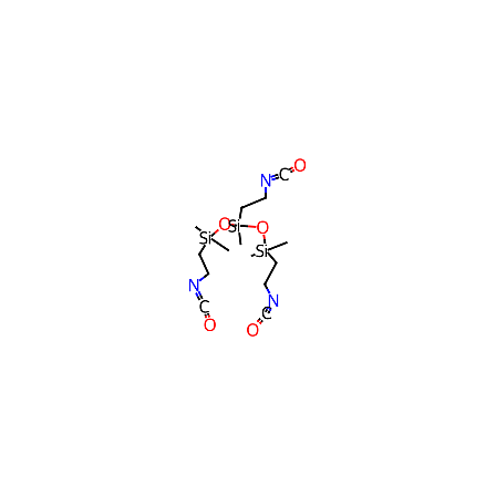 C[Si](C)(CCN=C=O)O[Si](C)(CCN=C=O)O[Si](C)(C)CCN=C=O